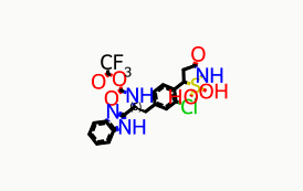 O=C1CC(c2ccc(C[C@H](NC(=O)OC(=O)C(F)(F)F)c3nc4ccccc4[nH]3)cc2Cl)S(O)(O)N1